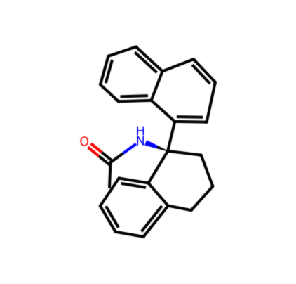 CC(=O)N[C@@]1(c2cccc3ccccc23)CCCc2ccccc21